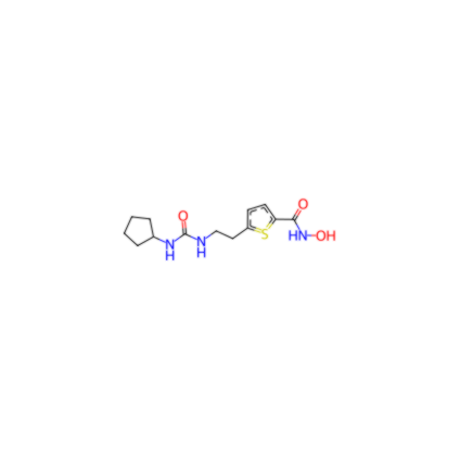 O=C(NCCc1ccc(C(=O)NO)s1)NC1CCCC1